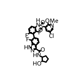 COc1ncc(Cl)cc1S(=O)(=O)Nc1ccc(F)c(-c2ccc3c(C(=O)NC4CCCC4O)n[nH]c3c2F)c1F